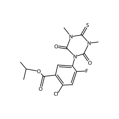 CC(C)OC(=O)c1cc(-n2c(=O)n(C)c(=S)n(C)c2=O)c(F)cc1Cl